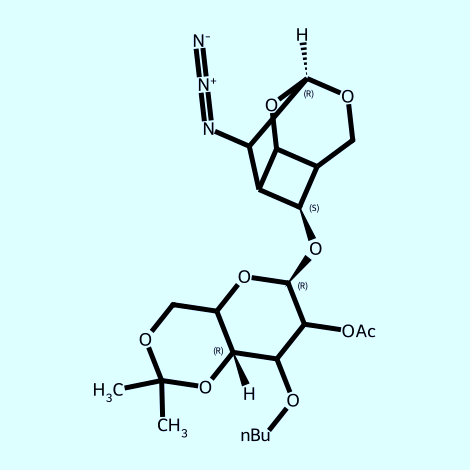 CCCCOC1C(OC(C)=O)[C@H](O[C@@H]2C3CO[C@@H]4OC3C2C4N=[N+]=[N-])OC2COC(C)(C)O[C@H]21